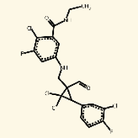 CCNC(=O)c1cc(NCC2(C=O)C(c3ccc(F)c(Cl)c3)C2(Cl)Cl)cc(F)c1Cl